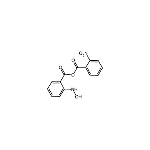 O=C(OC(=O)c1ccccc1[N+](=O)[O-])c1ccccc1NO